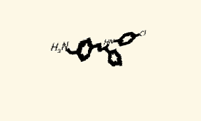 NCc1ccc(C=CC(Nc2ccc(Cl)cc2)c2ccccc2)cc1